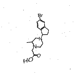 CC1CN(C2CCc3cc(Br)ccc32)CCN1CC(=O)O